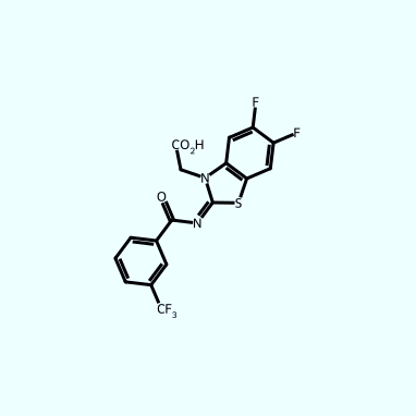 O=C(O)Cn1c(=NC(=O)c2cccc(C(F)(F)F)c2)sc2cc(F)c(F)cc21